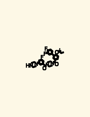 CC[C@@H](C)Oc1ccc(C(=O)N2CCN(C(=O)c3cc(F)cc(N4CCNCC4)c3)CC2)cc1-c1ccc(F)c(F)c1